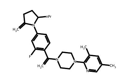 C=C(c1ccc(N2C(=C)CCC2CCC)cc1F)N1CCN(c2ncc(C)cc2C)CC1